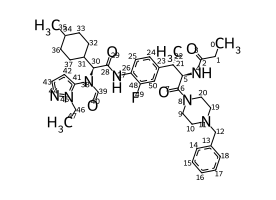 CCC(=O)N[C@@H](C(=O)N1CCN(Cc2ccccc2)CC1)[C@@H](C)c1ccc(NC(=O)[C@H](C2CCC(C)CC2)N(C=O)c2ccnn2CC)c(F)c1